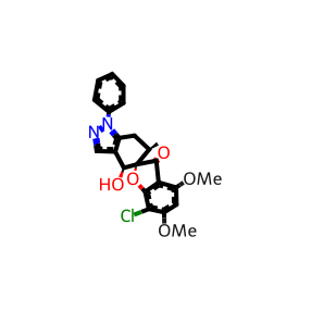 COc1cc(OC)c2c(c1Cl)O[C@@]1(C2=O)[C@H](C)Cc2c(cnn2-c2ccccc2)[C@@H]1O